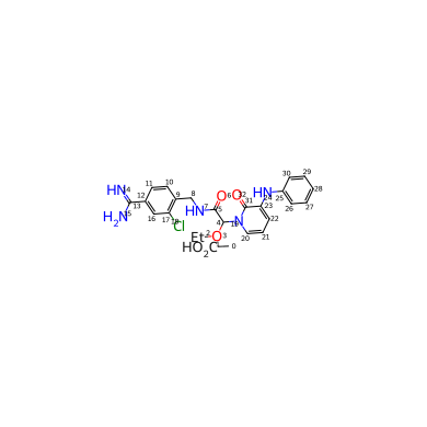 CC(=O)O.CCOC(C(=O)NCc1ccc(C(=N)N)cc1Cl)n1cccc(Nc2ccccc2)c1=O